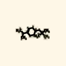 CC(C)C1=CCN(CC(C)(C)C)CC1